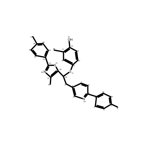 Cc1ccc(-c2ccc(CC(Sc3ccc(O)c(C)c3)c3sc(-c4ccc(C)cc4)nc3C)cn2)cc1